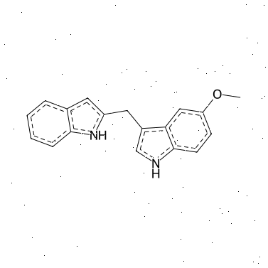 COc1ccc2[nH]cc(Cc3cc4ccccc4[nH]3)c2c1